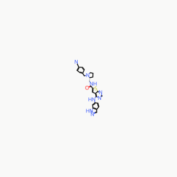 N#Cc1ccc(CN2CCC[C@@H]2CNC(=O)c2cc3c(Nc4ccc5cn[nH]c5c4)ncnc3s2)cc1